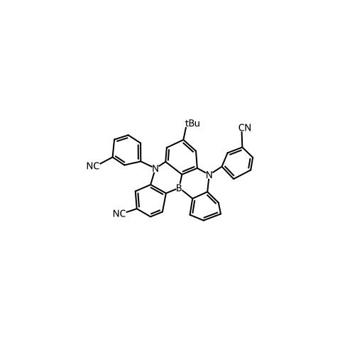 CC(C)(C)c1cc2c3c(c1)N(c1cccc(C#N)c1)c1cc(C#N)ccc1B3c1ccccc1N2c1cccc(C#N)c1